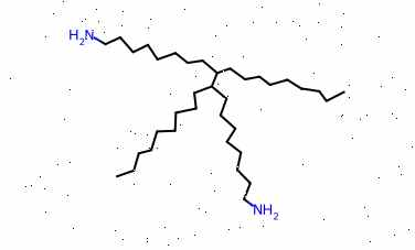 CCCCCCCCCC(CCCCCCCCN)C(CCCCCCCCC)CCCCCCCCN